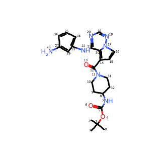 CC(C)(C)OC(=O)NC1CCN(C(=O)c2ccn3ncnc(Nc4cccc(N)c4)c23)CC1